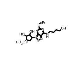 CCCSc1nc(NCCCCO)c2nnn(C3C[C@H](C(=O)O)C(O)C3O)c2n1